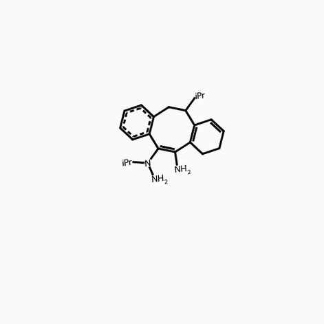 CC(C)C1Cc2ccccc2/C(N(N)C(C)C)=C(/N)C2=C1C=CCC2